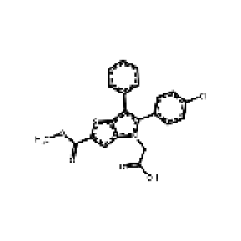 COC(=O)c1cc2c(s1)c(-c1ccccc1)c(-c1ccc(Cl)cc1)n2CC(=O)O